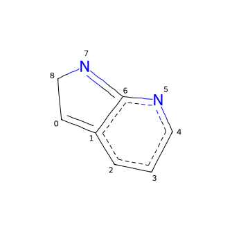 C1=c2cccnc2=NC1